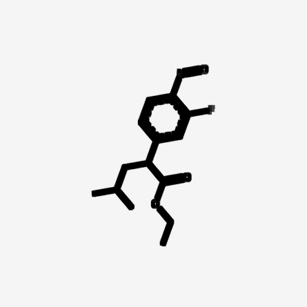 CCOC(=O)C(CC(C)C)c1ccc(N=O)c(F)c1